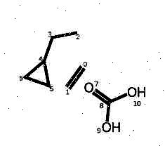 C=C.CCC1CC1.O=C(O)O